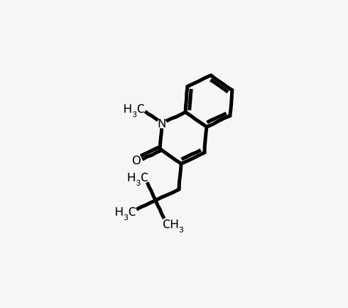 Cn1c(=O)c(CC(C)(C)C)cc2ccccc21